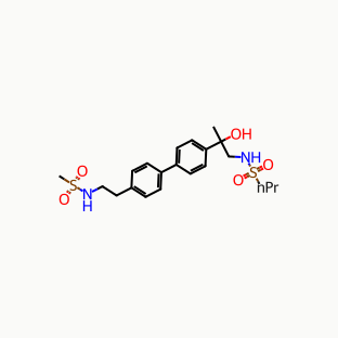 CCCS(=O)(=O)NCC(C)(O)c1ccc(-c2ccc(CCNS(C)(=O)=O)cc2)cc1